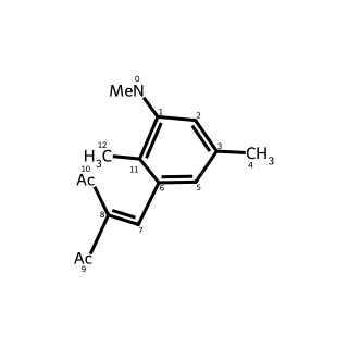 CNc1cc(C)cc(C=C(C(C)=O)C(C)=O)c1C